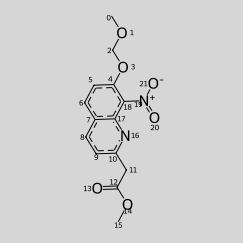 COCOc1ccc2ccc(CC(=O)OC)nc2c1[N+](=O)[O-]